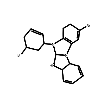 BrC1=CC2=C(CC1)N(C1C=CCC(Br)C1)C1NC3C=CC=CC3N21